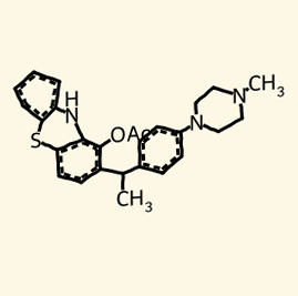 CC(=O)Oc1c(C(C)c2ccc(N3CCN(C)CC3)cc2)ccc2c1Nc1ccccc1S2